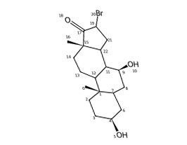 C[C@]12CC[C@H](O)CC1C[C@H](O)C1C2CC[C@]2(C)C(=O)C(Br)CC12